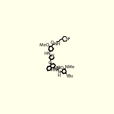 CNc1cc(C(C)(C)C)cc(NC(=O)Nc2ccc(Oc3ccnc(Nc4ccc(C(=O)NCCCC5CCN(C)CC5)c(OC)c4)c3)c3ccccc23)c1OC